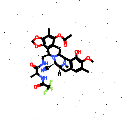 COc1c(C)cc2c(c1O)C1C3Cc4c(OC(C)=O)c(C)c5c(c4[C@H](CNC(=O)[C@H](C)NC(=O)C(F)(F)F)N3[C@@H](C#N)[C@H](C2)N1C)OCO5